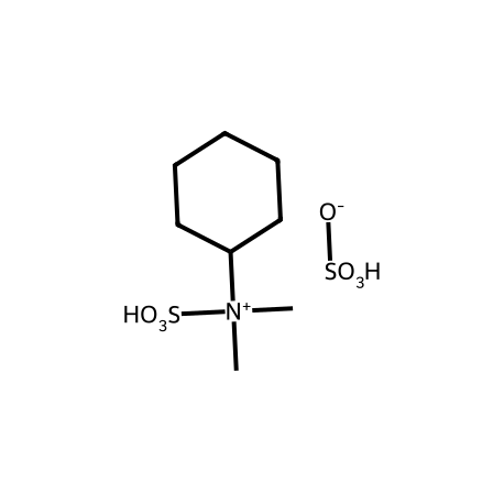 C[N+](C)(C1CCCCC1)S(=O)(=O)O.O=S(=O)([O-])O